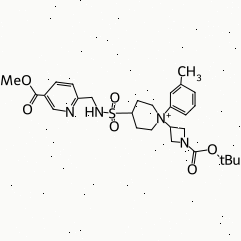 COC(=O)c1ccc(CNS(=O)(=O)C2CC[N+](c3cccc(C)c3)(C3CN(C(=O)OC(C)(C)C)C3)CC2)nc1